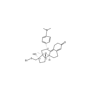 CCSC[C@]1(O)CC[C@H]2[C@@H]3CCC4=CC(=O)CCC4=C3[C@@H](c3ccc(N(C)C)cc3)C[C@@]21C